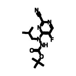 CC(C)CN(NC(=O)OC(C)(C)C)c1nc(C#N)ncc1F